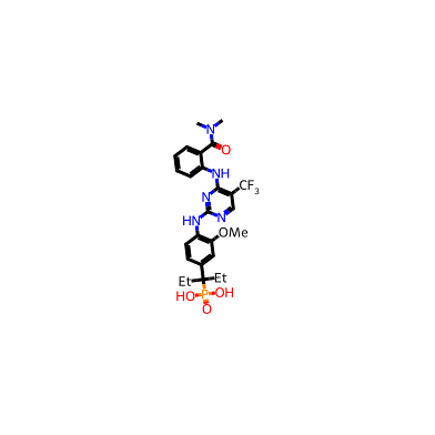 CCC(CC)(c1ccc(Nc2ncc(C(F)(F)F)c(Nc3ccccc3C(=O)N(C)C)n2)c(OC)c1)P(=O)(O)O